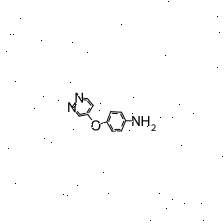 Nc1ccc(Oc2ccnnc2)cc1